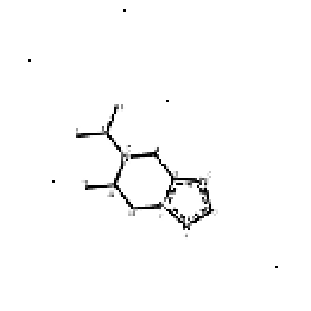 CC(C)N1Cc2ncnn2CC1C